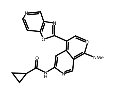 CNc1ncc(-c2nc3cnccc3o2)c2cc(NC(=O)C3CC3)ncc12